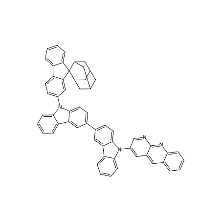 c1ccc2c(c1)-c1ccc(-n3c4ccccc4c4cc(-c5ccc6c(c5)c5ccccc5n6-c5cnc6nc7ccccc7cc6c5)ccc43)cc1C21C2CC3CC(C2)CC1C3